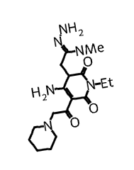 CCN1C(=O)C(C(=O)CN2CCCCC2)=C(N)C(C/C(=N/N)NC)C1=O